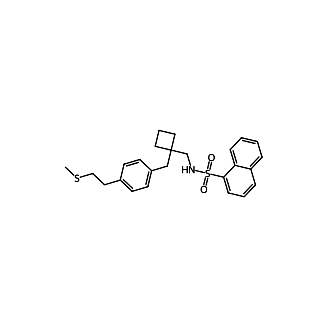 CSCCc1ccc(CC2(CNS(=O)(=O)c3cccc4ccccc34)CCC2)cc1